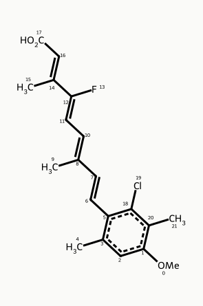 COc1cc(C)c(/C=C/C(C)=C/C=C(F)/C(C)=C/C(=O)O)c(Cl)c1C